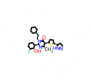 Cc1nc(-c2cccc(F)c2O)n(CCc2ccccc2)c(=O)c1-c1ccc(-c2ccn[nH]2)s1